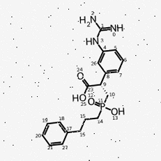 N=C(N)Nc1cccc([C@H](CP(=O)(O)CCCc2ccccc2)C(=O)O)c1